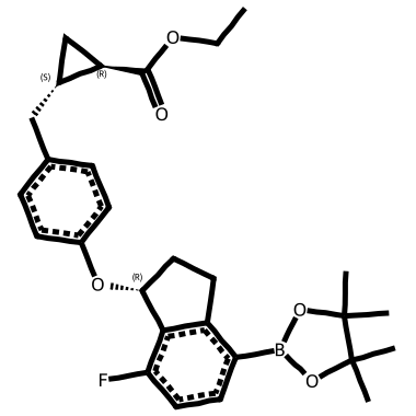 CCOC(=O)[C@@H]1C[C@H]1Cc1ccc(O[C@@H]2CCc3c(B4OC(C)(C)C(C)(C)O4)ccc(F)c32)cc1